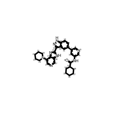 O=C(Nc1cncc(-c2ccc3[nH]nc(-c4nc5c(N6CCCCC6)cncc5[nH]4)c3c2)c1)C1CCCCC1